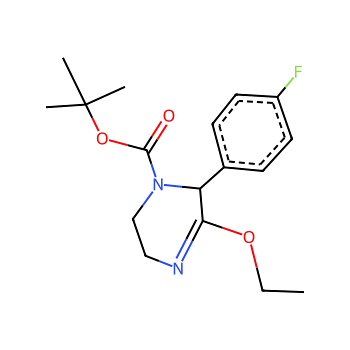 CCOC1=NCCN(C(=O)OC(C)(C)C)C1c1ccc(F)cc1